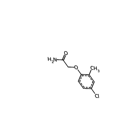 Cc1cc(Cl)ccc1OCC(N)=O